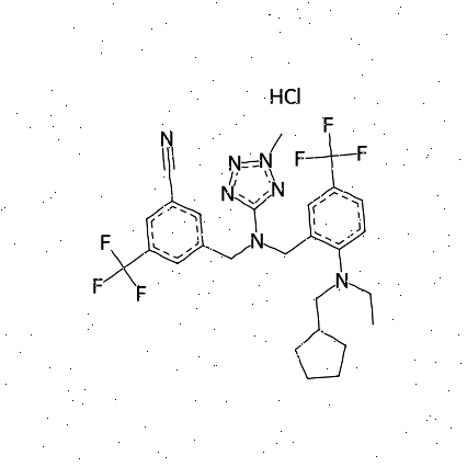 CCN(CC1CCCC1)c1ccc(C(F)(F)F)cc1CN(Cc1cc(C#N)cc(C(F)(F)F)c1)c1nnn(C)n1.Cl